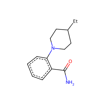 CCC1CCN(c2ccccc2C(N)=O)CC1